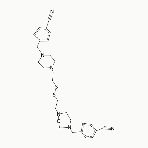 N#Cc1ccc(CN2CCN(CCSSCCN3CCN(Cc4ccc(C#N)cc4)CC3)CC2)cc1